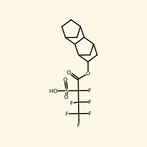 O=C(OC1CC2CC1C1C3CCC(C3)C21)C(F)(C(F)(F)C(F)(F)F)S(=O)(=O)O